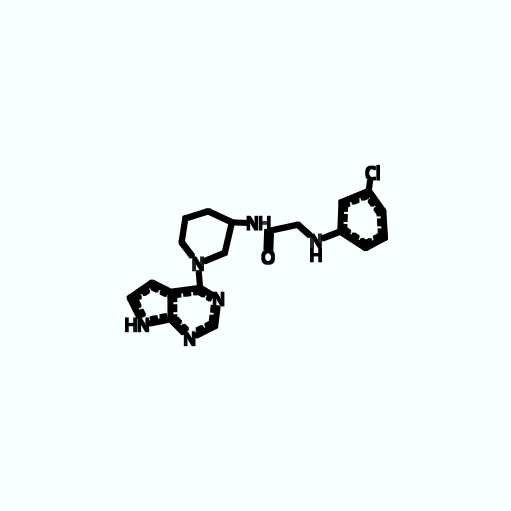 O=C(CNc1cccc(Cl)c1)NC1CCCN(c2ncnc3[nH]ccc23)C1